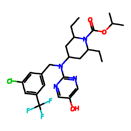 CCC1CC(N(Cc2cc(Cl)cc(C(F)(F)F)c2)c2ncc(O)cn2)CC(CC)N1C(=O)OC(C)C